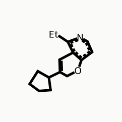 CCc1nccc2c1C=C(C1CCCC1)CO2